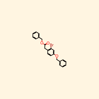 O=C(Cc1ccc(OCc2ccccc2)cc1Br)OCc1ccccc1